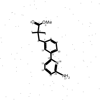 COC(=O)C(C)(C)Cc1cccc(-c2cccc(N)n2)c1